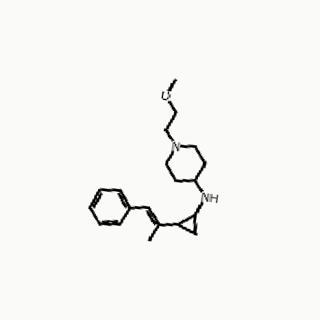 COCCN1CCC(NC2CC2C(C)=Cc2ccccc2)CC1